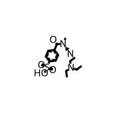 CCN(CC)CC.CN(C#N)C(=O)c1ccc(S(=O)(=O)O)cc1